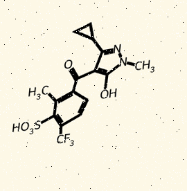 Cc1c(C(=O)c2c(C3CC3)nn(C)c2O)ccc(C(F)(F)F)c1S(=O)(=O)O